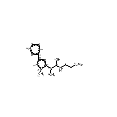 CSCCNC(O)N(C)c1cc(-c2cccnc2)nn1C